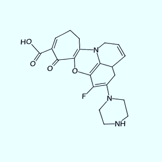 O=C(O)C1=CCCC2=C(OC3=C4C(C=CCN24)CC(N2CCNCC2)=C3F)C1=O